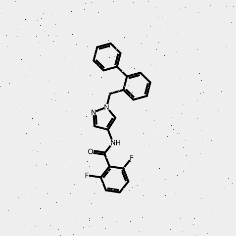 O=C(Nc1cnn(Cc2ccccc2-c2ccccc2)c1)c1c(F)cccc1F